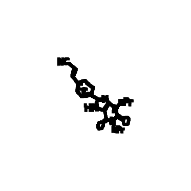 CCCn1c(=O)c2[nH]c(C34CCC(/C=C/C#N)(CC3)CC4)nc2n(CCC)c1=O